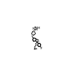 CN(C)CCCC1(c2ccc(F)cc2)OCc2cc(CN3CCN(c4nc[nH]n4)CC3)ccc21